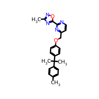 Cc1ccc(C(C)(C)c2ccc(OCc3ccnc(-c4nc(C)no4)n3)cc2)cc1